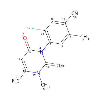 Cc1cc(-n2c(=O)cc(C(F)(F)F)n(C)c2=O)c(F)cc1C#N